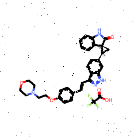 O=C(O)C(F)(F)F.O=C1Nc2ccccc2[C@]12C[C@H]2c1ccc2c(C=Cc3ccc(OCCN4CCOCC4)cc3)n[nH]c2c1